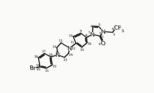 O=c1n(CC(F)(F)F)ccn1-c1ccc(N2CCN(c3ccc(Br)cc3)CC2)cc1